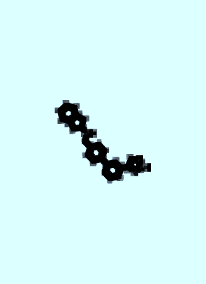 c1cc(-c2ccc(CNC3Cc4ccccc4C3)cc2)cc(-c2cn[nH]n2)c1